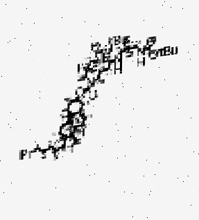 CC(C)CCC[C@@H](C)[C@H]1CC[C@H]2[C@@H]3CC=C4C[C@@H](OC(=O)N(CCCCNCC(F)(F)CNC(=O)OC(C)(C)C)CC(F)(F)CNC(=O)OC(C)(C)C)CC[C@]4(C)[C@H]3CC[C@]12C